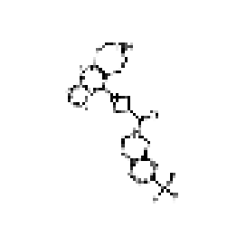 O=C(C1CN(c2c3c(nc4ccnn24)CCNCC3)C1)N1CCc2ccc(C(F)(F)F)cc2C1